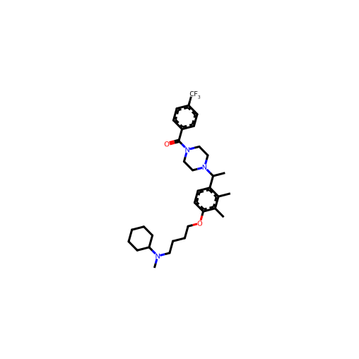 Cc1c(OCCCCN(C)C2CCCCC2)ccc(C(C)N2CCN(C(=O)c3ccc(C(F)(F)F)cc3)CC2)c1C